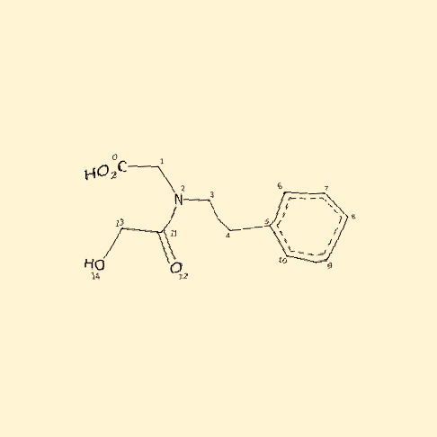 O=C(O)CN(CCc1ccccc1)C(=O)CO